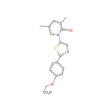 Cc1cc(C)c(=O)n(-c2cnc(-c3ccc(OCC(=O)O)cc3)s2)c1